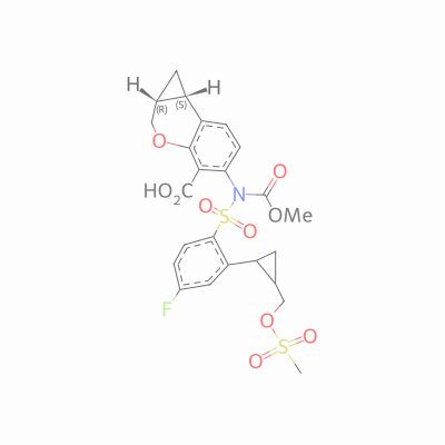 COC(=O)N(c1ccc2c(c1C(=O)O)OC[C@@H]1C[C@H]21)S(=O)(=O)c1ccc(F)cc1C1CC1COS(C)(=O)=O